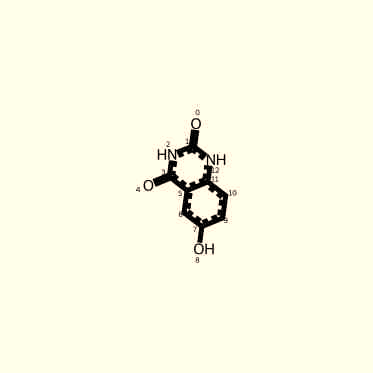 O=c1[nH]c(=O)c2cc(O)ccc2[nH]1